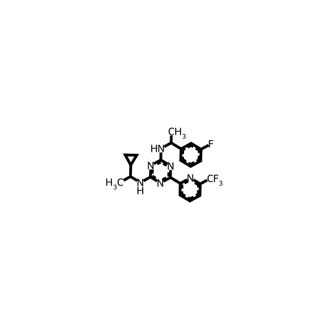 CC(Nc1nc(NC(C)C2CC2)nc(-c2cccc(C(F)(F)F)n2)n1)c1cccc(F)c1